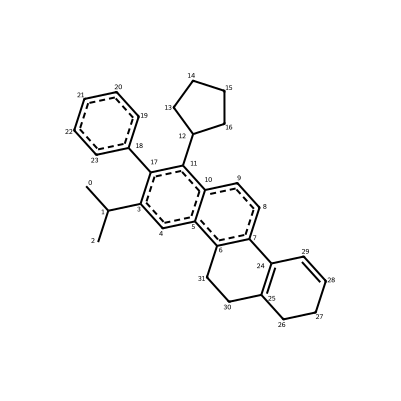 CC(C)c1cc2c3c(ccc2c(C2CCCC2)c1-c1ccccc1)C1=C(CCC=C1)CC3